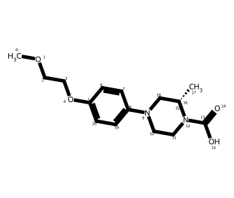 COCCOc1ccc(N2CCN(C(=O)O)[C@@H](C)C2)cc1